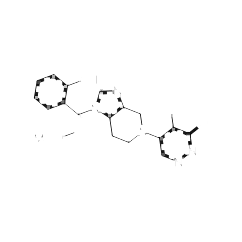 COC[C@H](c1ccccc1C)n1cnc2c1CCN(c1cn[nH]c(=O)c1Cl)C2